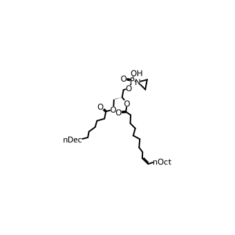 CCCCCCCC/C=C\CCCCCCCC(=O)O[C@H](COC(=O)CCCCCCCCCCCCCCC)COP(=O)(O)N1CC1